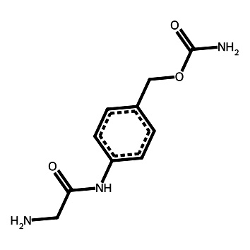 NCC(=O)Nc1ccc(COC(N)=O)cc1